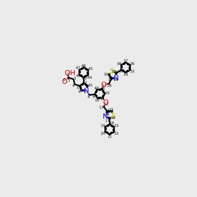 O=C(O)CCc1cn(Cc2cc(OCc3csc(-c4ccccc4)n3)cc(OCc3csc(-c4ccccc4)n3)c2)cc1-c1ccccc1